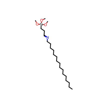 CCCCCCCCCCCCCCCCN=CCC[Si](OC)(OC)OC